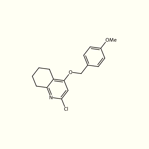 COc1ccc(COc2cc(Cl)nc3c2CCCC3)cc1